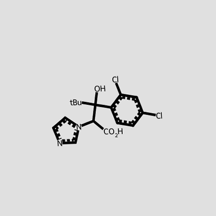 CC(C)(C)C(O)(c1ccc(Cl)cc1Cl)C(C(=O)O)n1ccnc1